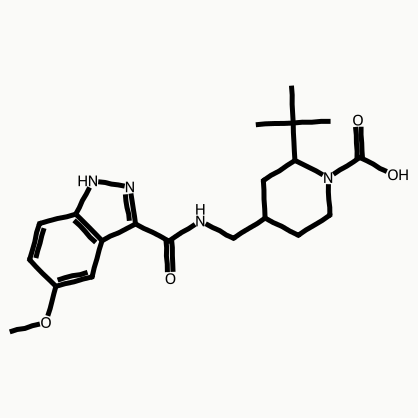 COc1ccc2[nH]nc(C(=O)NCC3CCN(C(=O)O)C(C(C)(C)C)C3)c2c1